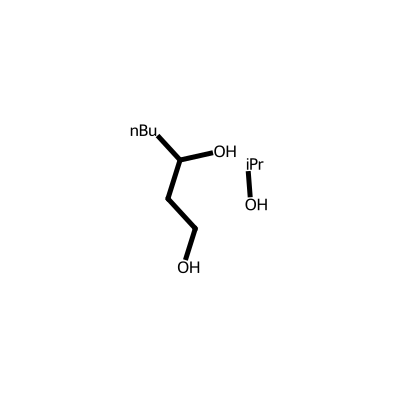 CC(C)O.CCCCC(O)CCO